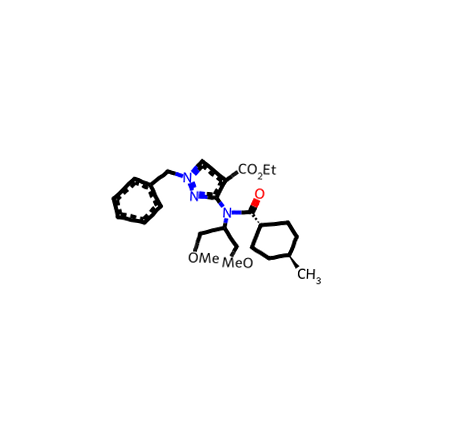 CCOC(=O)c1cn(Cc2ccccc2)nc1N(C(=O)[C@H]1CC[C@H](C)CC1)C(COC)COC